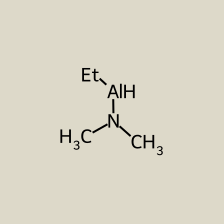 C[CH2][AlH][N](C)C